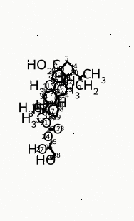 C=C(C)[C@@H]1CC[C@]2(C(=O)O)CC[C@]3(C)[C@H](CC[C@@H]4[C@@]5(C)CC[C@H](OC(=O)OCC(O)CO)C(C)(C)[C@@H]5CC[C@]43C)[C@@H]12